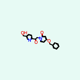 O=C(Cn1ccc(OCc2ccccc2)cc1=O)c1ccc(CO)cn1